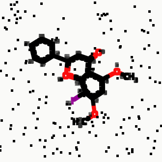 COc1cc(OC)c2c(=O)cc(-c3ccccc3)oc2c1I